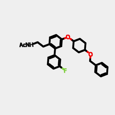 CC(=O)NCCc1ccc(OC2CCC(OCc3ccccc3)CC2)cc1-c1cccc(F)c1